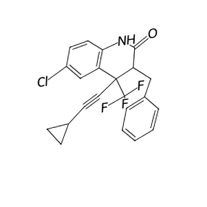 O=C1Nc2ccc(Cl)cc2C(C#CC2CC2)(C(F)(F)F)C1Cc1ccccc1